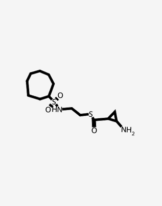 NC1CC1C(=O)SCCNS(=O)(=O)C1CCCCCCC1